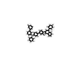 c1ccc(-c2cccc(N(c3ccccc3)c3ccc(-c4ccc5c(c4)oc4c6ccccc6c(-c6ccccc6)cc54)cc3)c2)cc1